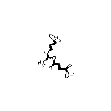 CCCCOC(C)OC(=O)C=CC(=O)O